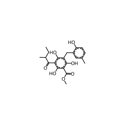 CCC(C)C(=O)c1c(O)c(Cc2cc(C)ccc2O)c(O)c(C(=O)OC)c1O